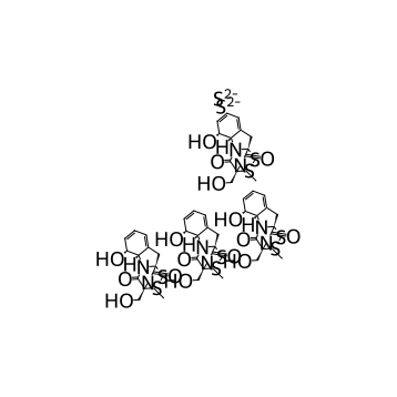 CN1C(=O)[C@]23CC4=CC=C[C@H](O)[C@H]4N2C(=O)[C@@]1(CO)SS3.CN1C(=O)[C@]23CC4=CC=C[C@H](O)[C@H]4N2C(=O)[C@@]1(CO)SS3.CN1C(=O)[C@]23CC4=CC=C[C@H](O)[C@H]4N2C(=O)[C@@]1(CO)SS3.CN1C(=O)[C@]23CC4=CC=C[C@H](O)[C@H]4N2C(=O)[C@@]1(CO)SS3.[S-2].[S-2]